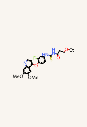 CCOCCC(=O)NC(=S)Nc1ccc(Oc2ccnc3cc(OC)c(OC)cc23)c(F)c1